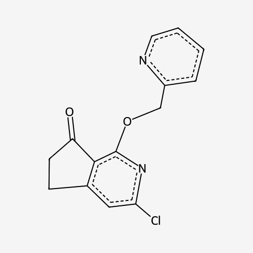 O=C1CCc2cc(Cl)nc(OCc3ccccn3)c21